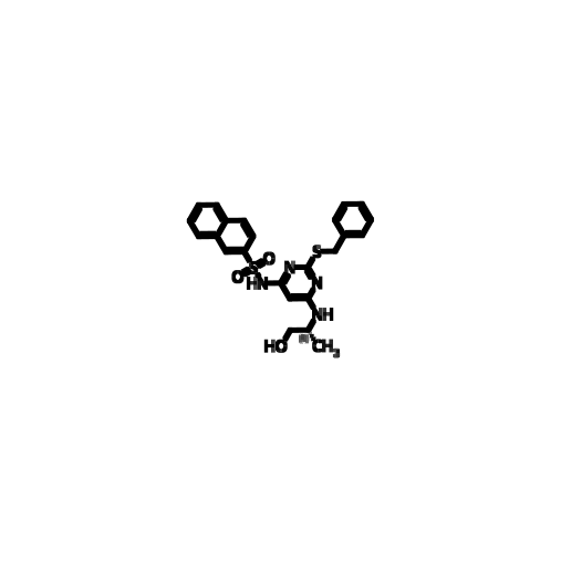 C[C@H](CO)Nc1cc(NS(=O)(=O)c2ccc3ccccc3c2)nc(SCc2ccccc2)n1